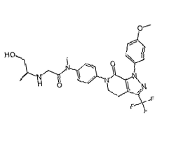 COc1ccc(-n2nc(C(F)(F)F)c3c2C(=O)N(c2ccc(N(C)C(=O)CNC(C)CO)cc2)CC3)cc1